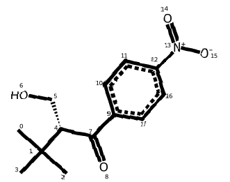 CC(C)(C)[C@H](CO)C(=O)c1ccc([N+](=O)[O-])cc1